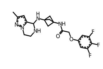 Cc1cc2n(n1)CCNC2NC12CC(NC(=O)COc3cc(F)c(F)c(F)c3)(C1)C2